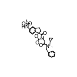 C[C@@H](C1CC1)N(Cc1ccccc1)C(=O)CN1C(=O)OC2(CCc3cc(NS(C)(=O)=O)ccc32)C1=O